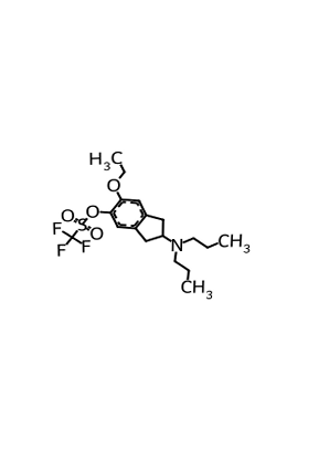 CCCN(CCC)C1Cc2cc(OCC)c(OS(=O)(=O)C(F)(F)F)cc2C1